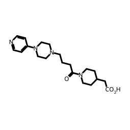 O=C(O)CC1CCN(C(=O)CCCN2CCN(c3ccncc3)CC2)CC1